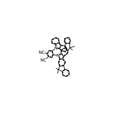 CC1(C)c2ccccc2-c2cc3c(cc21)c1cc2c(cc1n3-c1cc(C#N)c(C#N)cc1-n1c3ccccc3c3ccccc31)C(C)(C)c1ccccc1-2